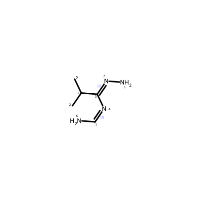 CC(C)C(/N=C\N)=N/N